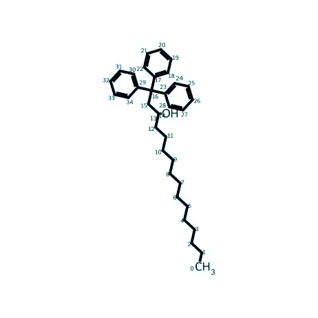 CCCCCCCCCCCCC[C@H](O)CC(c1ccccc1)(c1ccccc1)c1ccccc1